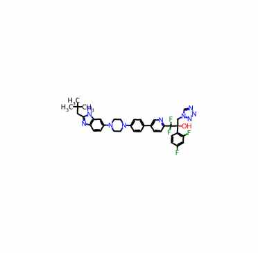 CC(C)(C)Cc1nc2ccc(N3CCN(c4ccc(-c5ccc(C(F)(F)[C@](O)(Cn6cnnn6)c6ccc(F)cc6F)nc5)cc4)CC3)cc2[nH]1